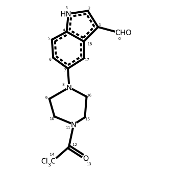 O=Cc1c[nH]c2ccc(N3CCN(C(=O)C(Cl)(Cl)Cl)CC3)cc12